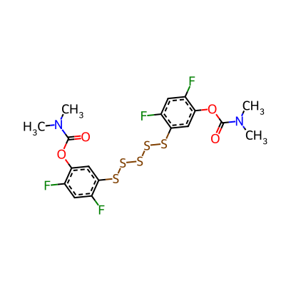 CN(C)C(=O)Oc1cc(SSSSSc2cc(OC(=O)N(C)C)c(F)cc2F)c(F)cc1F